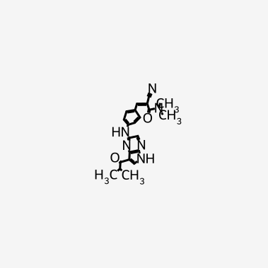 CC(C)C(=O)c1c[nH]c2ncc(Nc3ccc(C=C(C#N)C(=O)N(C)C)cc3)nc12